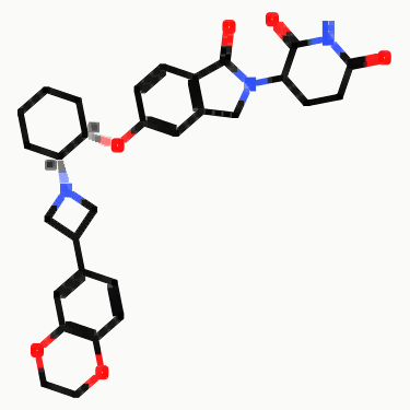 O=C1CCC(N2Cc3cc(O[C@H]4CCCC[C@H]4N4CC(c5ccc6c(c5)OCCO6)C4)ccc3C2=O)C(=O)N1